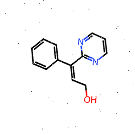 OCC=C(c1ccccc1)c1ncccn1